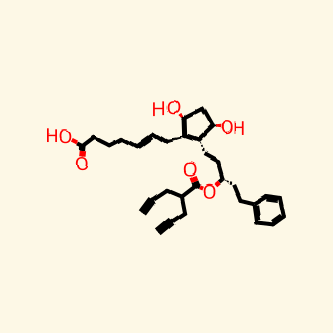 C#CCC(CC#C)C(=O)O[C@@H](CCc1ccccc1)CC[C@@H]1[C@@H](C/C=C/CCCC(=O)O)[C@@H](O)C[C@H]1O